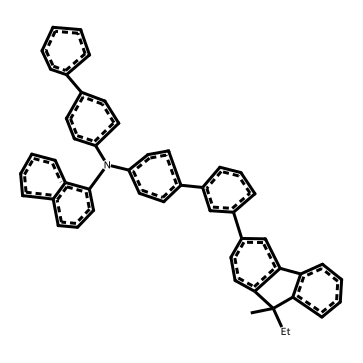 CCC1(C)c2ccccc2-c2cc(-c3cccc(-c4ccc(N(c5ccc(-c6ccccc6)cc5)c5cccc6ccccc56)cc4)c3)ccc21